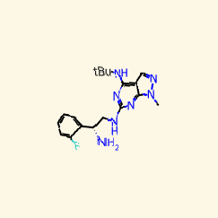 Cn1ncc2c(NC(C)(C)C)nc(NC[C@H](N)c3ccccc3F)nc21